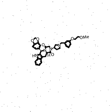 COCCOc1cccc(CN2CC[C@@H](N3CC(=O)N4[C@H](c5ccc6c(c5)OCO6)c5[nH]c6ccccc6c5C[C@@H]4C3=O)C2)c1